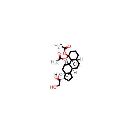 CC(=O)OC1(OC(C)=O)CCC[C@H]2CC[C@H]3[C@@H]4CC[C@H](C(=O)CO)[C@@]4(C)CC[C@@H]3[C@]21C